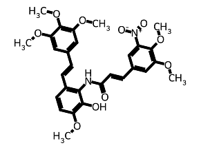 COc1ccc(C=Cc2cc(OC)c(OC)c(OC)c2)c(NC(=O)/C=C/c2cc(OC)c(OC)c([N+](=O)[O-])c2)c1O